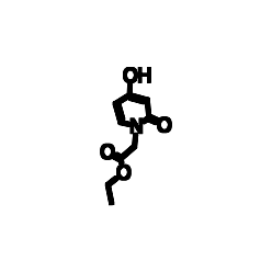 CCOC(=O)Cn1ccc(O)cc1=O